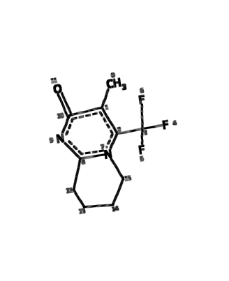 Cc1c(C(F)(F)F)n2c(nc1=O)CCCC2